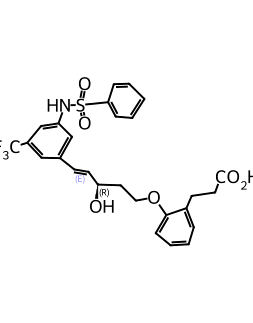 O=C(O)CCc1ccccc1OCC[C@@H](O)/C=C/c1cc(NS(=O)(=O)c2ccccc2)cc(C(F)(F)F)c1